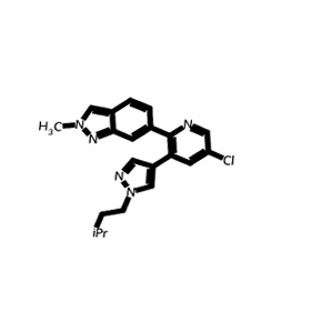 CC(C)CCn1cc(-c2cc(Cl)cnc2-c2ccc3cn(C)nc3c2)cn1